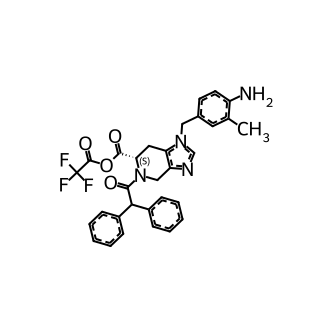 Cc1cc(Cn2cnc3c2C[C@@H](C(=O)OC(=O)C(F)(F)F)N(C(=O)C(c2ccccc2)c2ccccc2)C3)ccc1N